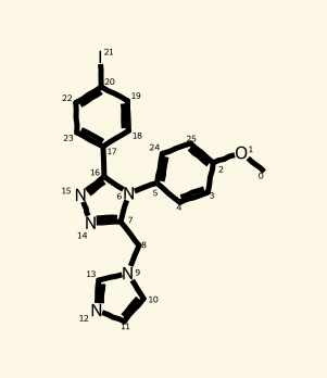 COc1ccc(-n2c(Cn3ccnc3)nnc2-c2ccc(I)cc2)cc1